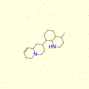 CC1CCNC2C1CCCC2C1CCN2CCC=CC2C1